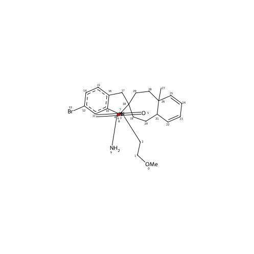 COCCN1C(=O)C2(N=C1N)c1cc(Br)ccc1CC21CCC2C=CC=CC2(C)CC1